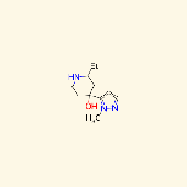 CCC1CC(O)(c2ccnn2C)CCN1